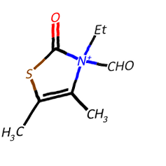 CC[N+]1(C=O)C(=O)SC(C)=C1C